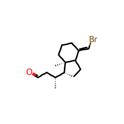 C[C@H](CC=O)[C@H]1CCC2C(=CBr)CCC[C@@]21C